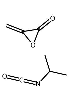 C=C1OC1=O.CC(C)N=C=O